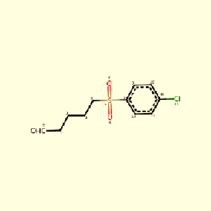 O=CCCCCS(=O)(=O)c1ccc(Cl)cc1